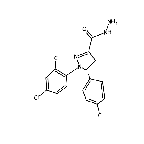 NNC(=O)C1=NN(c2ccc(Cl)cc2Cl)[C@@H](c2ccc(Cl)cc2)C1